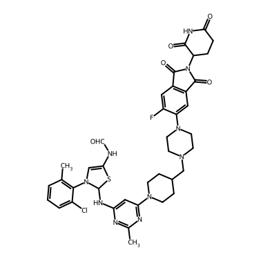 Cc1nc(NC2SC(NC=O)=CN2c2c(C)cccc2Cl)cc(N2CCC(CN3CCN(c4cc5c(cc4F)C(=O)N(C4CCC(=O)NC4=O)C5=O)CC3)CC2)n1